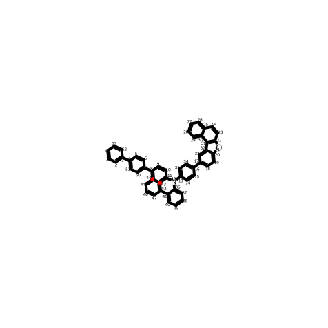 c1ccc(-c2ccc(-c3ccc(N(c4ccc(-c5ccc6oc7ccc8ccccc8c7c6c5)cc4)c4ccccc4-c4ccccc4)cc3)cc2)cc1